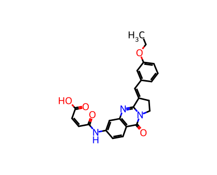 CCOc1cccc(C=C2CCn3c2nc2cc(NC(=O)/C=C\C(=O)O)ccc2c3=O)c1